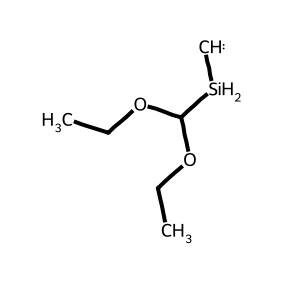 [CH][SiH2]C(OCC)OCC